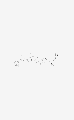 CC1(C)c2cc(-c3cncc(-c4cccnc4)c3)ccc2-c2cc3c(cc21)-c1ccc(-c2cccc(-c4cccnc4)n2)cc1C3(C)C